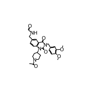 COc1ccc(Cn2c(=O)c3cc(CNC=O)ccc3n(C3CCN(C(C)=O)CC3)c2=O)cc1OC